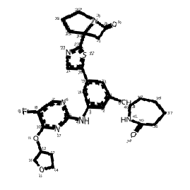 Cc1cc(Nc2ncc(F)c(OC3CCOC3)n2)cc(-c2cnc(C34CCCN3C(=O)C4)s2)c1.O=C1CCCCCN1